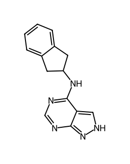 c1ccc2c(c1)CC(Nc1ncnc3n[nH]cc13)C2